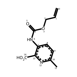 C=CCOC(=O)Nc1ccc(C)nc1C(=O)O